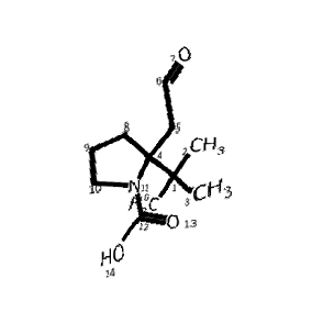 CC(C)(C)C1(CC=O)CCCN1C(=O)O